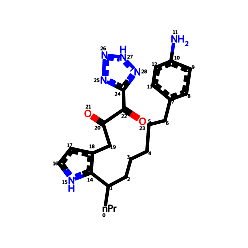 CCCC(CCCCCc1ccc(N)cc1)c1[nH]ccc1CC(=O)C(=O)c1nn[nH]n1